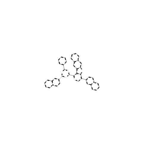 c1ccc(-c2nc(-c3ccc4ccccc4c3)nc(-c3ncc(-c4ccc5ccccc5c4)c4oc5cc6ccccc6cc5c34)n2)cc1